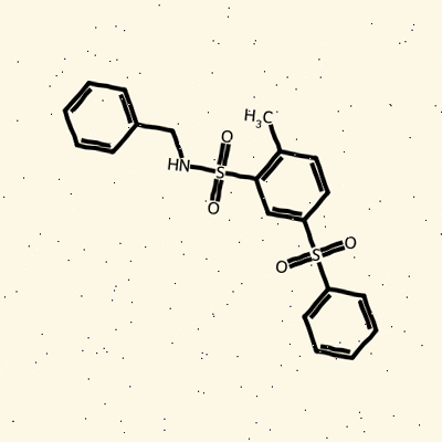 Cc1ccc(S(=O)(=O)c2ccccc2)cc1S(=O)(=O)NCc1ccccc1